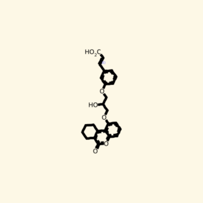 O=C(O)/C=C/c1cccc(OCC(O)COc2cccc3oc(=O)c4c(c23)CCCC4)c1